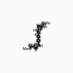 COC(=O)N[C@H](C(=O)N1C[C@@H](C)C[C@H]1c1nc(-c2ccc(-c3ccc(-c4cc5[nH]c([C@@H]6C[C@H](C)CN6C(=O)[C@@H](NC(=O)OC)C(C)C)nc5s4)c(F)c3)cc2)c[nH]1)C(C)C